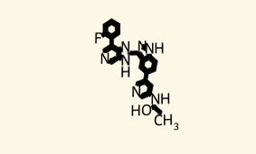 CCC(O)Nc1cncc(-c2ccc3[nH]nc(-c4nc5c(-c6ccccc6F)cncc5[nH]4)c3c2)c1